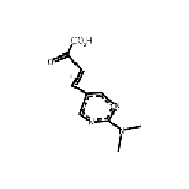 CN(C)c1ncc(/C=C/C(=O)C(=O)O)cn1